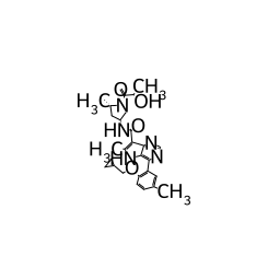 Cc1ccc(OCC2CC2)c(-c2ncnc3c(C(=O)N[C@@H]4C[C@H](C)N(C(=O)[C@H](C)O)C4)c(C)[nH]c23)c1